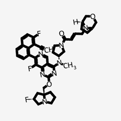 C#Cc1c(F)ccc2cccc(-c3ncc4c(N(C)[C@@H]5CCN(C(=O)/C=C/CN6C7CC[C@H]6COC7)C5)nc(OC[C@@]56CCCN5C[C@H](F)C6)nc4c3F)c12